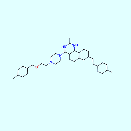 CC1CCC(CCC2CCC3C(CCC4C3NC(C)NC4N3CCN(CCOCC4CCC(C)CC4)CC3)C2)CC1